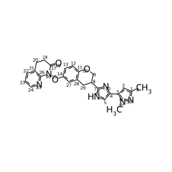 Cc1cc(-c2c[nH]c(C3COc4ccc(ON5C(=O)CCc6cccnc65)cc4C3)n2)n(C)n1